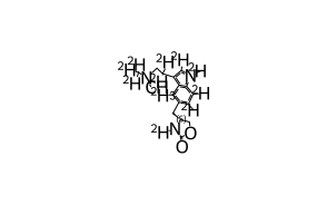 [2H]c1c(C[C@H]2COC(=O)N2[2H])c([2H])c2c(C([2H])([2H])CN(C)C([2H])([2H])[2H])c([2H])n([2H])c2c1[2H]